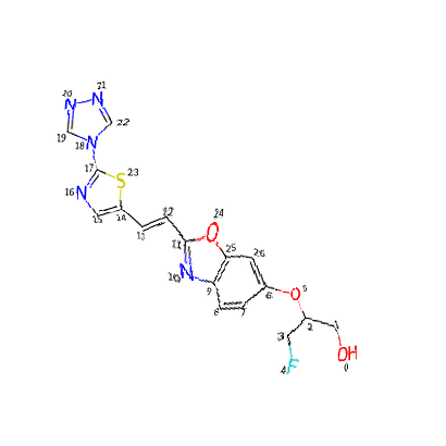 OCC(CF)Oc1ccc2nc(/C=C/c3cnc(-n4cnnc4)s3)oc2c1